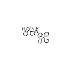 CC1(C)c2ccccc2-c2ccc(Nc3ccc4c(c3)-c3ccccc3C4(c3ccccc3)c3ccccc3)cc21